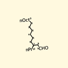 CCCCCCCCCCCCCC[C](CC=O)CCC